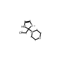 ClCC1(N2CCOCC2)NC=CS1